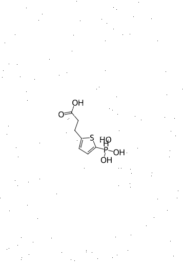 O=C(O)CCc1ccc([PH](O)(O)O)s1